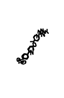 CC(C)n1nnc(N2CCC([C@H](C)Oc3ccc(-c4ccc(S(C)(=O)=O)cc4)nc3)CC2)n1